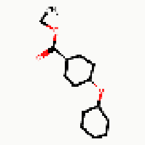 CCOC(=O)[C@H]1CC[C@H](OC2CCCCC2)CC1